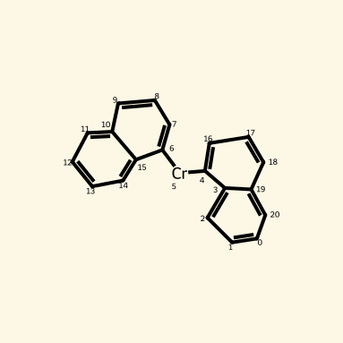 c1ccc2[c]([Cr][c]3cccc4ccccc34)cccc2c1